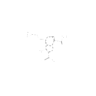 NC(=O)c1sc2c(C(N)=O)ccc(OCC3CC3)c2c1N